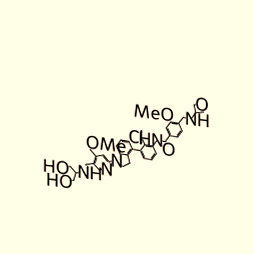 COCc1cc(N2CCc3c(-c4cccc(NC(=O)c5ccc(CNC6COC6)c(OC)c5)c4Cl)cccc32)ncc1CNC(CO)CO